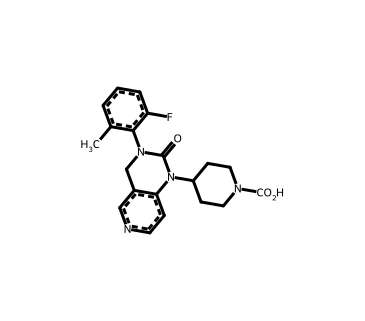 Cc1cccc(F)c1N1Cc2cnccc2N(C2CCN(C(=O)O)CC2)C1=O